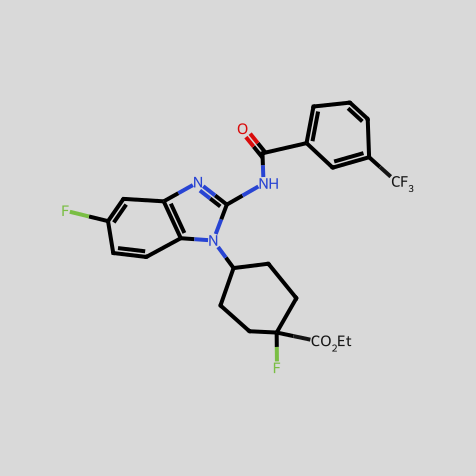 CCOC(=O)C1(F)CCC(n2c(NC(=O)c3cccc(C(F)(F)F)c3)nc3cc(F)ccc32)CC1